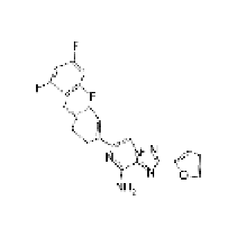 Nc1nc(C2=CCN(Cc3c(F)cc(F)cc3F)CC2)cn2nc(-c3ccco3)nc12